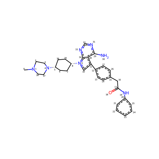 CN1CCN([C@H]2CC[C@@H](n3cc(-c4ccc(CC(=O)Nc5ccccc5)cc4)c4c(N)ncnc43)CC2)CC1